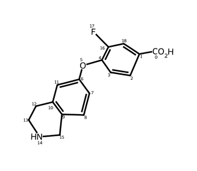 O=C(O)c1ccc(Oc2ccc3c(c2)CCNC3)c(F)c1